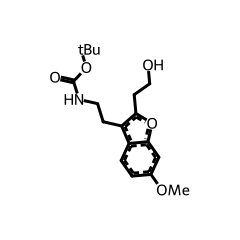 COc1ccc2c(CCNC(=O)OC(C)(C)C)c(CCO)oc2c1